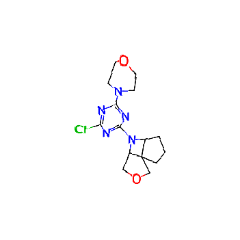 Clc1nc(N2CCOCC2)nc(N2C3CCCC34COCC24)n1